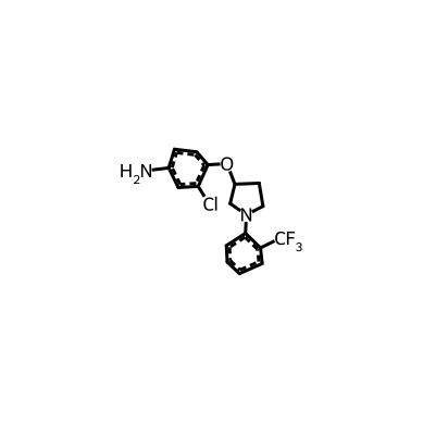 Nc1ccc(OC2CCN(c3ccccc3C(F)(F)F)C2)c(Cl)c1